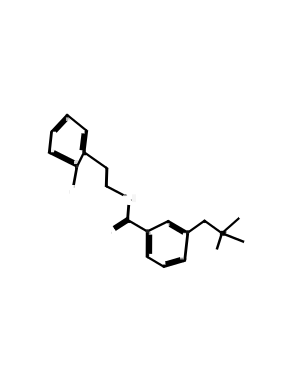 CC(C)(C)Cc1cccc(C(=O)NCCc2ccccc2Cl)c1